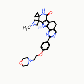 CN1CC2(C1)c1[nH]c3c(c1C(=O)NC21CC1)CCc1cnc(-c2ccc(OCCN4CCOCC4)cc2)nc1-3